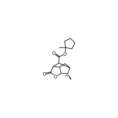 C[C@@H]1C2CC3C(C(=O)OC31)C2C(=O)OC1(C)CCCC1